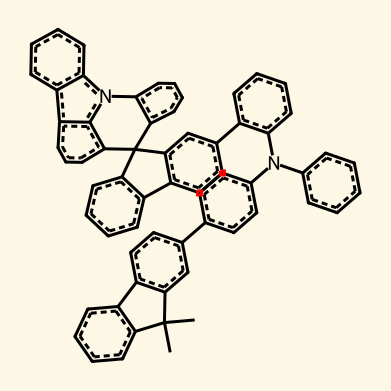 CC1(C)c2ccccc2-c2ccc(-c3ccc(N(c4ccccc4)c4ccccc4-c4ccc5c(c4)C4(c6ccccc6-5)c5ccccc5-n5c6ccccc6c6cccc4c65)cc3)cc21